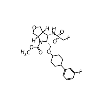 COC(=O)N1[C@@H]2COC[C@@H]2[C@H](NS(=O)(=O)CF)[C@@H]1COC1CCC(c2cccc(F)c2)CC1